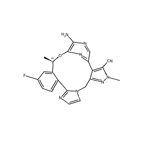 C[C@H]1Oc2nc(cnc2N)-c2c(nn(C)c2C#N)Cn2ccnc2-c2ccc(F)cc21